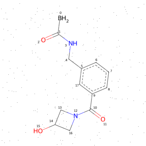 BC(=O)NCc1cccc(C(=O)N2CC(O)C2)c1